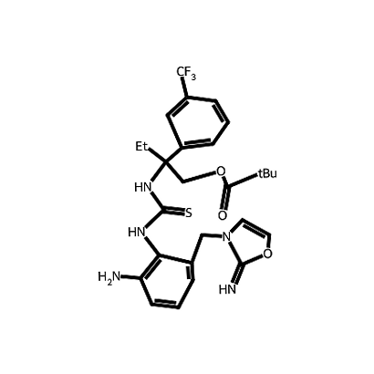 CCC(COC(=O)C(C)(C)C)(NC(=S)Nc1c(N)cccc1Cn1ccoc1=N)c1cccc(C(F)(F)F)c1